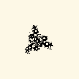 CC(C)(C)c1ccc(C(=O)Nc2c(Nc3ccccc3)c(NC(=O)c3ccc(C(C)(C)C)cc3)c(Nc3ccccc3)c(NC(=O)c3ccc(C(C)(C)C)cc3)c2Nc2ccccc2)cc1